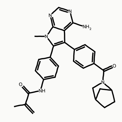 C=C(C)C(=O)Nc1ccc(-c2c(-c3ccc(C(=O)N4CC5CCC4C5)cc3)c3c(N)ncnc3n2C)cc1